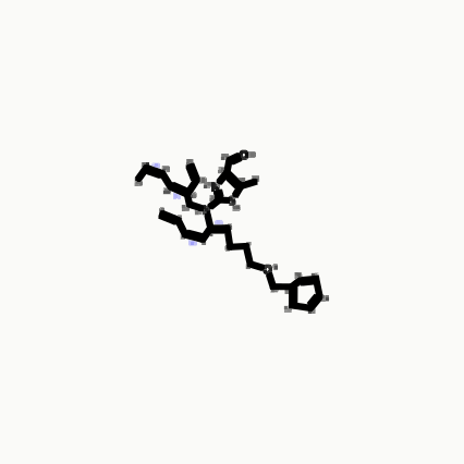 C=C/C=C\C(=C/CCCOCc1ccccc1)N(C/C(C=C)=C/C=C\C)c1nc(C=O)c(C)s1